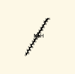 CCCCCCCCCCCCCOCCCCCCCCCCCCC.[NaH]